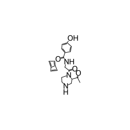 CC(=O)C1CNCCN1C(=O)CNC(=O)c1ccc(O)cc1.c1cc2ccc1-2